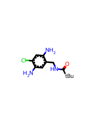 CC(C)(C)C(=O)NCc1cc(N)c(Cl)cc1N